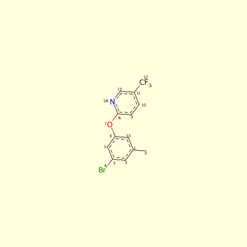 Cc1cc(Br)cc(Oc2ccc(C(F)(F)F)cn2)c1